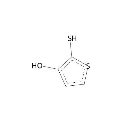 Oc1ccsc1S